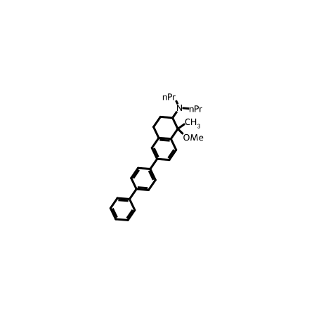 CCCN(CCC)C1CCc2cc(-c3ccc(-c4ccccc4)cc3)ccc2C1(C)OC